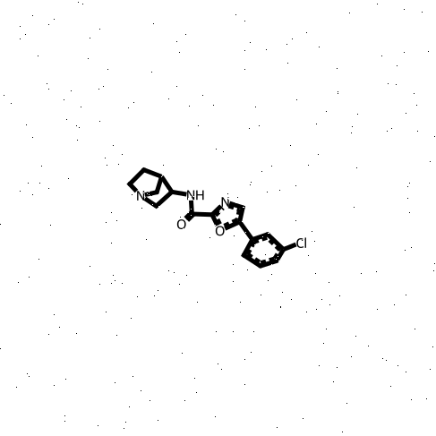 O=C(NC1CN2CCC1C2)c1ncc(-c2cccc(Cl)c2)o1